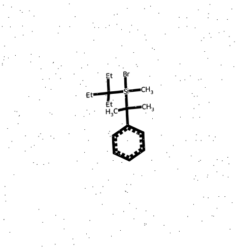 CCC(CC)(CC)[Si](C)(Br)C(C)(C)c1ccccc1